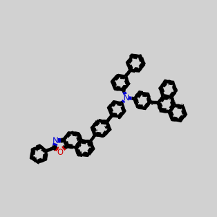 c1ccc(-c2cccc(N(c3ccc(-c4ccc(-c5cccc6c5ccc5nc(-c7ccccc7)oc56)cc4)cc3)c3ccc(-c4cc5ccccc5c5ccccc45)cc3)c2)cc1